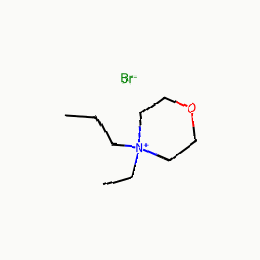 CCC[N+]1(CC)CCOCC1.[Br-]